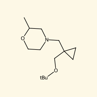 CC1CN(CC2(COC(C)(C)C)CC2)CCO1